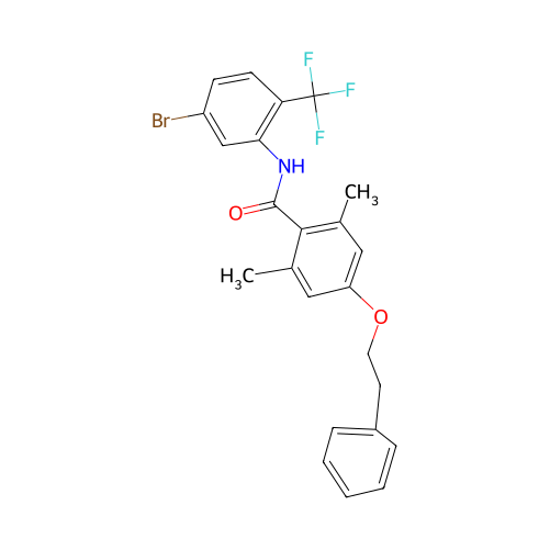 Cc1cc(OCCc2ccccc2)cc(C)c1C(=O)Nc1cc(Br)ccc1C(F)(F)F